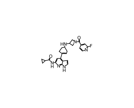 O=C(Nc1cc(C2=CCC(NC3CN(C(=O)c4ccnc(F)c4)C3)CC2)c2cc[nH]c2n1)C1CC1